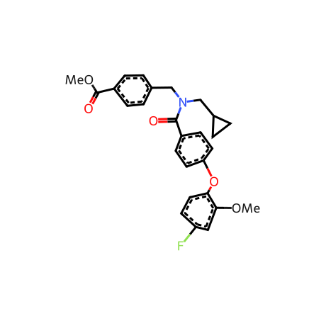 COC(=O)c1ccc(CN(CC2CC2)C(=O)c2ccc(Oc3ccc(F)cc3OC)cc2)cc1